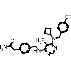 NC(=O)Cc1ccc(CNc2ncnc(N(Cc3ccc(C(F)(F)F)cc3)C3CCC3)c2P)cc1